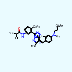 CCCCC(CC)C(=O)Nc1ccc(OC)c(-c2nnc3/c(=C\c4ccc(N(CC)CCOC)cc4C)c(C(C)(C)C)nn23)c1